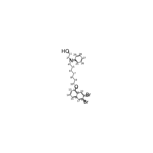 OCCN(CCCCCCCOc1cccc2cc(Br)c(Br)cc12)c1ccccc1